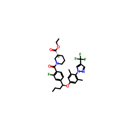 CCCC(Oc1cc(C)c(-n2cc(C(F)(F)F)cn2)c(C)c1)c1ccc(C(=O)N2CCC[C@@H](C(=O)OCC)C2)c(F)c1